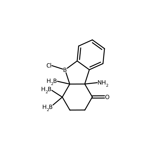 BC1(B)CCC(=O)C2(N)c3ccccc3B(Cl)C12B